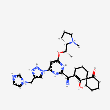 C[C@H](Oc1cc(-n2cc(Cn3ccnc3)nn2)nc(C(=N)C2=C(O)[C@]3(CCCCC3=O)CCC2)n1)[C@@H]1CCCN1C